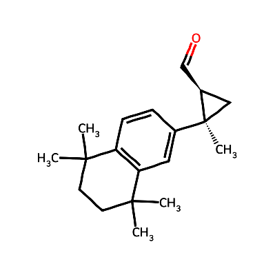 CC1(C)CCC(C)(C)c2cc([C@]3(C)C[C@@H]3C=O)ccc21